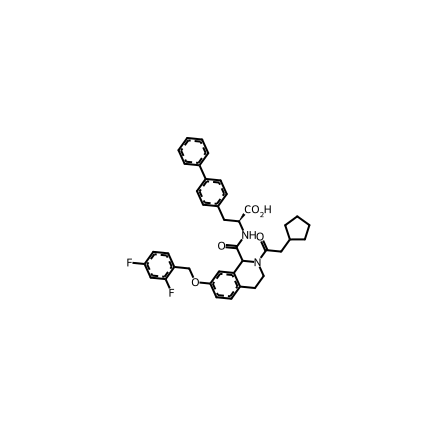 O=C(N[C@@H](Cc1ccc(-c2ccccc2)cc1)C(=O)O)C1c2cc(OCc3ccc(F)cc3F)ccc2CCN1C(=O)CC1CCCC1